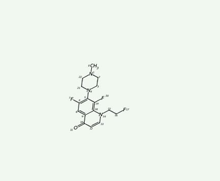 CN1CCN(c2c(F)cc3c(=O)ccn(CCF)c3c2F)CC1